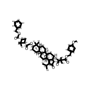 COc1ccc(COC(=O)C(C)(C)C(=O)N[C@@]23CC[C@]4(C)[C@H](CC[C@@H]5[C@@]6(C)CC[C@H](OC(=O)[C@H]7C[C@@H](C(=O)OCc8ccccc8)C7(C)C)C(C)(C)[C@@H]6CC[C@]54C)C2=C(C(C)C)C(=O)C3)cc1